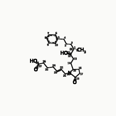 C[C@@H](CCCc1ccccc1)[C@H](O)CCC1CCC(=O)N1CC=CCCCC(=O)O